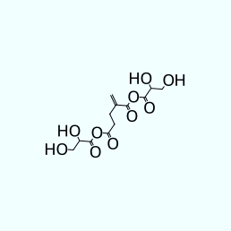 C=C(CCC(=O)OC(=O)C(O)CO)C(=O)OC(=O)C(O)CO